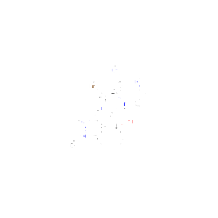 CCn1ncc2c1CCCC2(O)c1nc(Br)c2c(N)nccn12